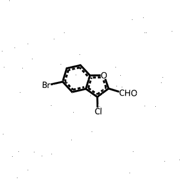 O=Cc1oc2ccc(Br)cc2c1Cl